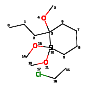 CCCC1(OC)CCCC[Si]1(OC)OC.CCCl